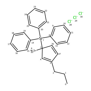 CCCC1=C[C]([Ti+3])([Si](c2ccccc2)(c2ccccc2)c2ccccc2)C=C1.[Cl-].[Cl-].[Cl-]